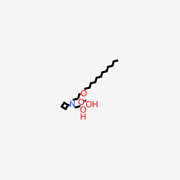 CCCCCCCCCCCCOCC(CN(CCO)C1CCC1)OCO